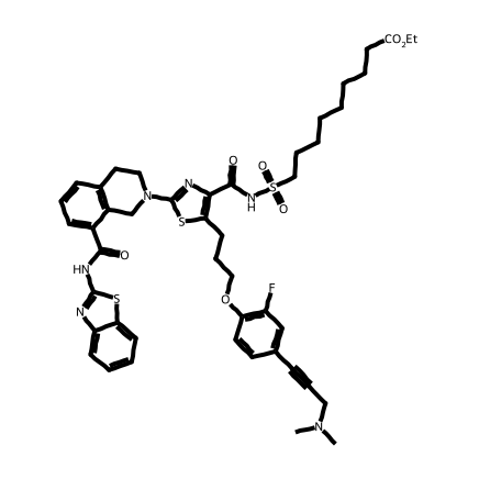 CCOC(=O)CCCCCCCCS(=O)(=O)NC(=O)c1nc(N2CCc3cccc(C(=O)Nc4nc5ccccc5s4)c3C2)sc1CCCOc1ccc(C#CCN(C)C)cc1F